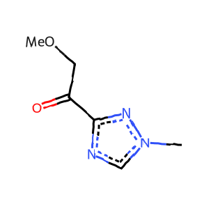 COCC(=O)c1ncn(C)n1